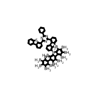 Bc1c(B)c(B)c(-c2c(B)c(B)c3c4c(B)c(B)c(B)c(B)c4n(-c4cccc5c4oc4cccc(-c6nc(-c7ccccc7)nc(-c7cccc8c7sc7ccccc78)n6)c45)c3c2B)c(B)c1B